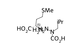 CC(C)CN(N)C(=O)O.CSCC[C@H](N)C(=O)O